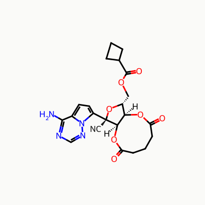 N#C[C@@]1(c2ccc3c(N)ncnn23)O[C@H](COC(=O)C2CCC2)[C@H]2OC(=O)CCCC(=O)O[C@H]21